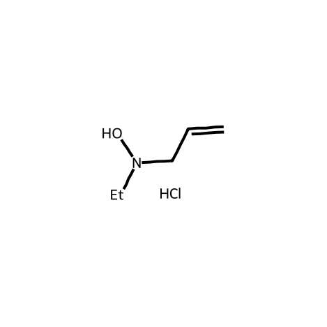 C=CCN(O)CC.Cl